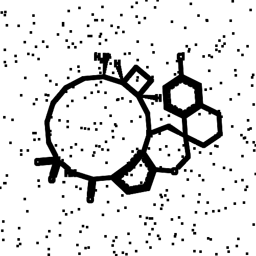 N[C@H]1CCCCCS(=O)(=O)NC(=O)c2ccc3c(c2)N(C[C@@H]2CC[C@@H]21)C[C@@]1(CCCc2cc(Cl)ccc21)CO3